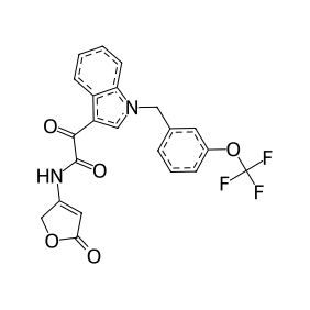 O=C1C=C(NC(=O)C(=O)c2cn(Cc3cccc(OC(F)(F)F)c3)c3ccccc23)CO1